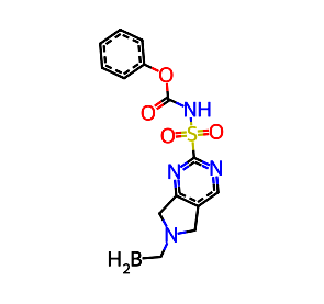 BCN1Cc2cnc(S(=O)(=O)NC(=O)Oc3ccccc3)nc2C1